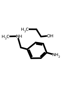 CCCO.CNCc1ccc(N)cc1